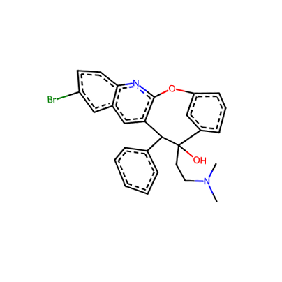 CN(C)CCC1(O)c2cccc(c2)Oc2nc3ccc(Br)cc3cc2C1c1ccccc1